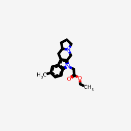 CCOC(=O)Cn1c2c(c3cc(C)ccc31)CC1CCCN1C2